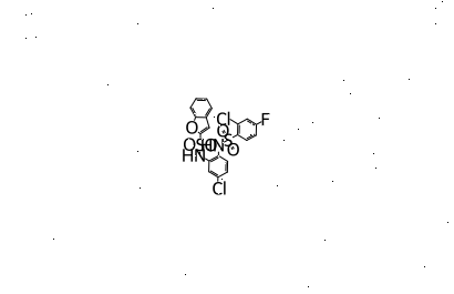 O=S(=O)(Nc1cc(Cl)ccc1NS(=O)(=O)c1ccc(F)cc1Cl)c1cc2ccccc2o1